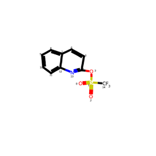 O=S(=O)(Oc1ccc2ccccc2n1)C(F)(F)F